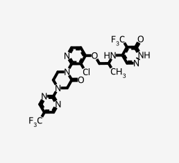 CC(COc1ccnc(N2CCN(c3ncc(C(F)(F)F)cn3)CC2=O)c1Cl)Nc1cn[nH]c(=O)c1C(F)(F)F